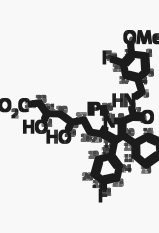 COc1ccc(CNC(=O)c2c(-c3ccccc3)c(-c3ccc(F)cc3)c(CCC(O)CC(O)CC(=O)O)n2C(C)C)cc1F